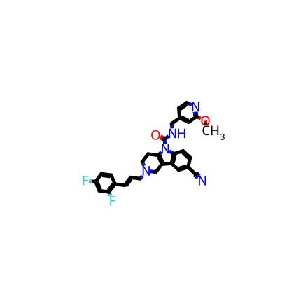 COc1cc(CNC(=O)n2c3c(c4cc(C#N)ccc42)CN(CC=Cc2ccc(F)cc2F)CC3)ccn1